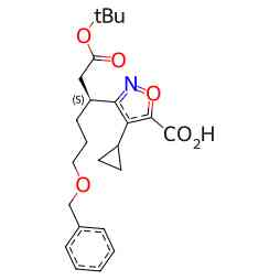 CC(C)(C)OC(=O)C[C@H](CCCOCc1ccccc1)c1noc(C(=O)O)c1C1CC1